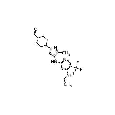 CCNc1nc(Nc2cn(C3CCC(C=O)NC3)nc2C)ncc1C(F)(F)F